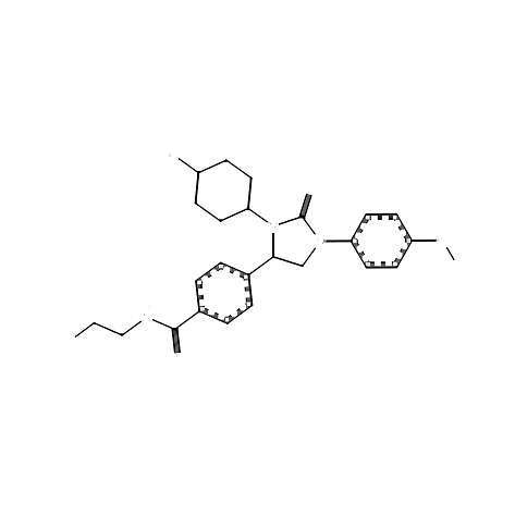 CC(C)(C)C1CCC(N2C(=O)N(c3ccc(OC(F)(F)F)cc3)CC2c2ccc(C(=O)NCCC(=O)O)cc2)CC1